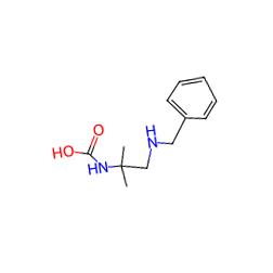 CC(C)(CNCc1ccccc1)NC(=O)O